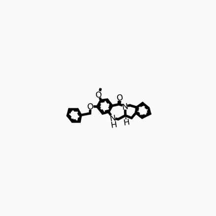 COc1cc2c(cc1OCc1ccccc1)NC[C@@H]1Cc3ccccc3CN1C2=O